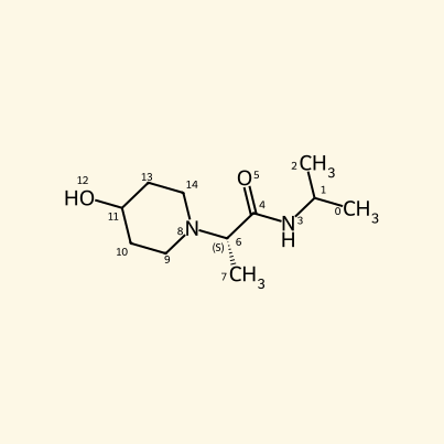 CC(C)NC(=O)[C@H](C)N1CCC(O)CC1